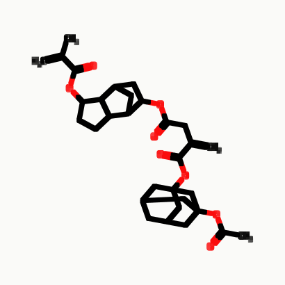 C=C(C)C(=O)OC1CCC2C3CC(CC3OC(=O)CC(=C)C(=O)OC34CC5CC(CC(OC(C)=O)(C5)C3)C4)C12